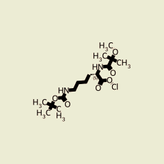 COC(C)(C)C(=O)N[C@@H](CCCCNC(=O)OC(C)(C)C)C(=O)OCl